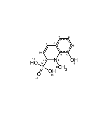 CN1c2c(O)cccc2C=CC1P(=O)(O)O